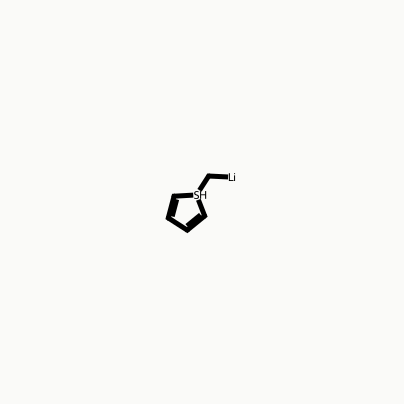 [Li][CH2][SH]1C=CC=C1